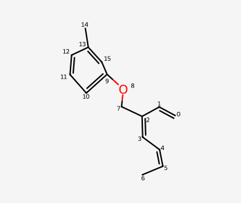 C=C/C(=C\C=C/C)COc1cccc(C)c1